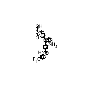 Nc1nccn2c(C3CC[C@H]4CN(CCO)CC(=O)N4C3)nc(-c3ccc(C(=O)Nc4cc(C(F)(F)F)ccn4)cc3)c12